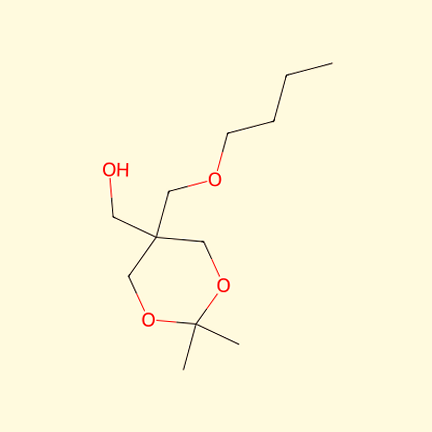 CCCCOCC1(CO)COC(C)(C)OC1